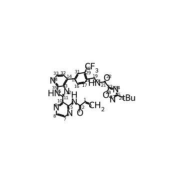 C=CC(=O)Nc1nccnc1-c1nc2c(-c3ccc(CNC(=O)c4nc(C(C)(C)C)no4)c(C(F)(F)F)c3)ccnc2[nH]1